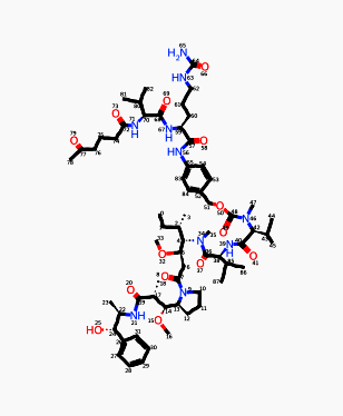 CC[C@H](C)[C@@H]([C@@H](CC(=O)N1CCC[C@H]1[C@H](OC)[C@@H](C)C(=O)N[C@H](C)[C@@H](O)c1ccccc1)OC)N(C)C(=O)[C@@H](NC(=O)[C@H](C(C)C)N(C)C(=O)OCc1ccc(NC(=O)[C@H](CCCNC(N)=O)NC(=O)[C@@H](NC(=O)CCCC(C)=O)C(C)C)cc1)C(C)C